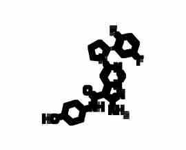 Nc1nn2cnc(N3CCC[C@@H]3c3cc(F)ccc3F)cc2c1C(=O)NC1CCC(O)CC1